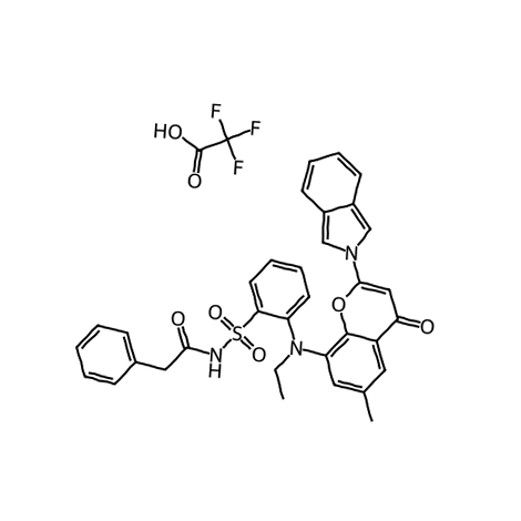 CCN(c1ccccc1S(=O)(=O)NC(=O)Cc1ccccc1)c1cc(C)cc2c(=O)cc(-n3cc4ccccc4c3)oc12.O=C(O)C(F)(F)F